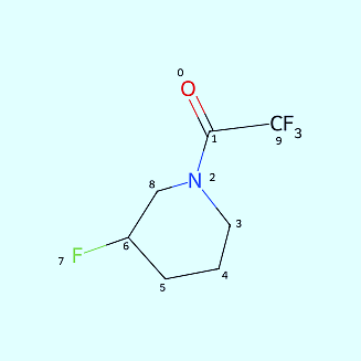 O=C(N1CCCC(F)C1)C(F)(F)F